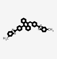 Cc1ccc2nc(-c3ccc(Cc4c5ccccc5c(-c5ccc(-c6nc7ccc(C)cc7s6)cc5)c5ccccc45)cc3)sc2c1